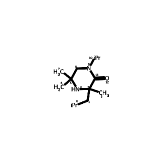 CC(C)CC1(C)NC(C)(C)CN(C(C)C)C1=O